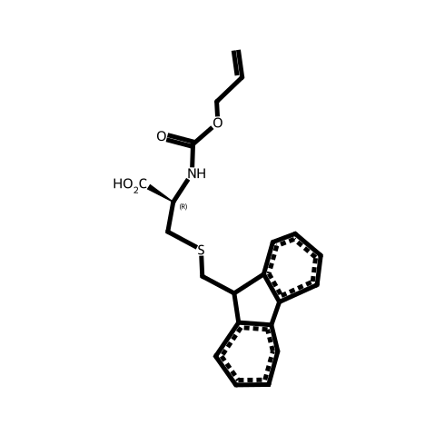 C=CCOC(=O)N[C@@H](CSCC1c2ccccc2-c2ccccc21)C(=O)O